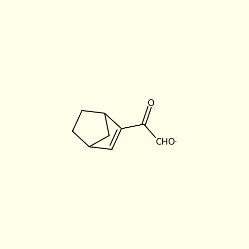 O=[C]C(=O)C1=CC2CCC1C2